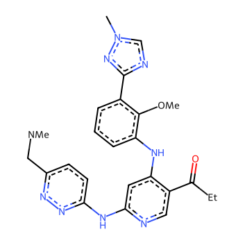 CCC(=O)c1cnc(Nc2ccc(CNC)nn2)cc1Nc1cccc(-c2ncn(C)n2)c1OC